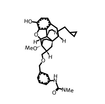 CNC(=O)Nc1cccc(COC[C@H]2C[C@@]34CC[C@]2(OC)[C@@H]2Oc5c(O)ccc6c5[C@@]23CCN(CC2CC2)[C@@H]4C6)c1